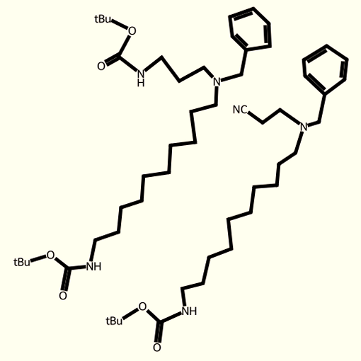 CC(C)(C)OC(=O)NCCCCCCCCCCN(CCC#N)Cc1ccccc1.CC(C)(C)OC(=O)NCCCCCCCCCCN(CCCNC(=O)OC(C)(C)C)Cc1ccccc1